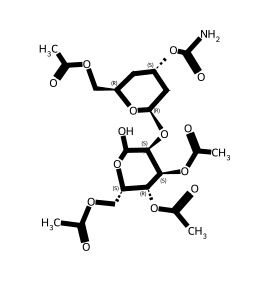 CC(=O)OC[C@H]1[CH][C@H](OC(N)=O)[CH][C@@H](O[C@@H]2C(O)O[C@@H](COC(C)=O)[C@@H](OC(C)=O)[C@@H]2OC(C)=O)O1